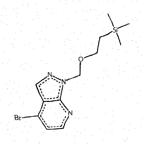 C[Si](C)(C)CCOCn1ncc2c(Br)ccnc21